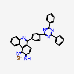 N=C1C=Cc2c(-c3ccc(-c4nc(-c5ccccc5)nc(-c5ccccc5)n4)cc3)nc3ccccc3c2/C1=N/S